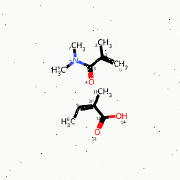 C=C(C)C(=O)N(C)C.CC=C(C)C(=O)O